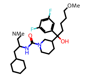 CNCC(CC1CCCCC1)NC(=O)N1CCCC(C(O)(CCCCOC)c2cc(F)cc(F)c2)C1